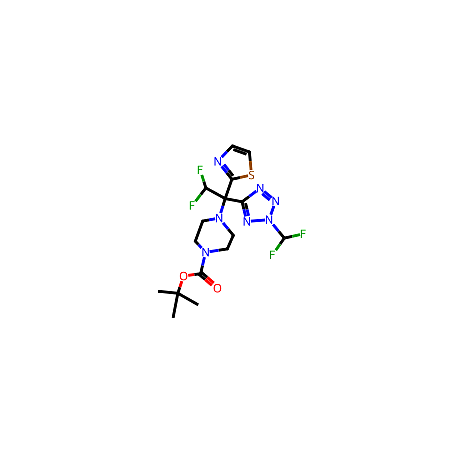 CC(C)(C)OC(=O)N1CCN(C(c2nnn(C(F)F)n2)(c2nccs2)C(F)F)CC1